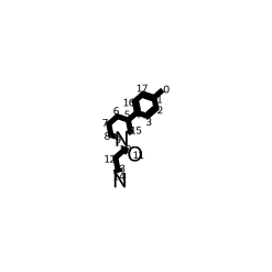 Cc1ccc(C2CCCN(C(=O)CC#N)C2)cc1